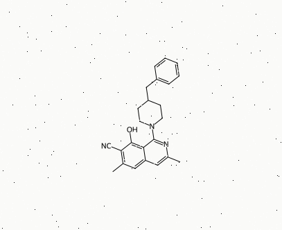 Cc1cc2cc(C)c(C#N)c(O)c2c(N2CCC(Cc3ccccc3)CC2)n1